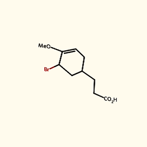 COC1=CCC(CCC(=O)O)CC1Br